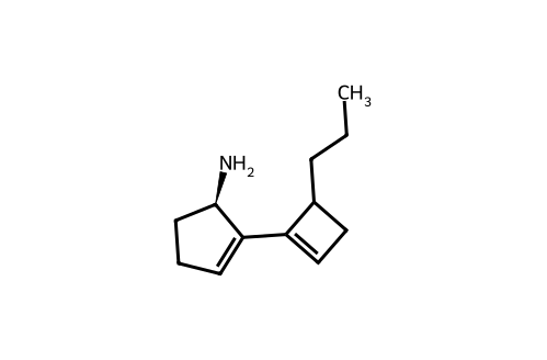 CCCC1CC=C1C1=CCC[C@H]1N